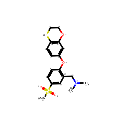 CNS(=O)(=O)c1ccc(Oc2ccc3c(c2)OCCS3)c(CN(C)C)c1